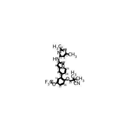 Cc1cc(Nc2cc3cc(-c4cc(OC(F)(F)F)ccc4OCC(C)(C)C#N)ccn3n2)nc(C)n1